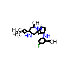 C#Cc1cc(F)ccc1Nc1cccc2c1C[C@]21CC(=N)C(C2CC(C)(C)C2)CC(=C)N1